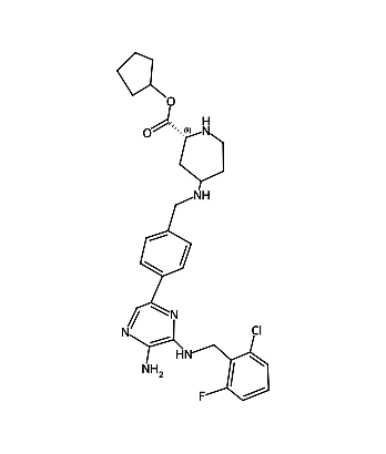 Nc1ncc(-c2ccc(CNC3CCN[C@@H](C(=O)OC4CCCC4)C3)cc2)nc1NCc1c(F)cccc1Cl